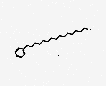 [CH2]CCCCCCCCCCCCCCCc1ccccc1